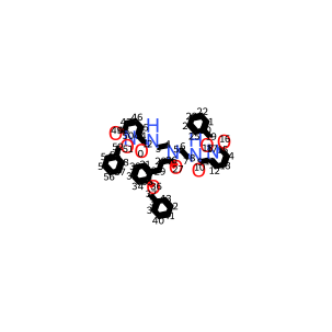 O=C(NCCN(CCNC(=O)c1cccc(=O)n1OCc1ccccc1)C(=O)CCc1ccccc1OCc1ccccc1)c1cccc(=O)n1OCc1ccccc1